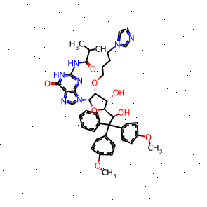 COc1ccc(C(c2ccccc2)(c2ccc(OC)cc2)C(O)[C@H]2O[C@@H](n3cnc4c(=O)[nH]c(NC(=O)C(C)C)nc43)[C@H](OCCCCn3ccnc3)[C@@H]2O)cc1